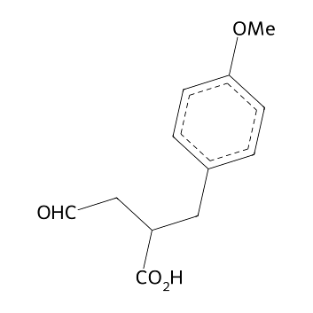 COc1ccc(CC(CC=O)C(=O)O)cc1